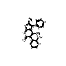 Cc1sc2[nH]c(=O)c(-c3ccccc3O)c(O)c2c1-c1ccccc1